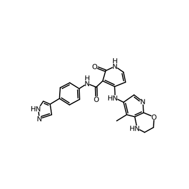 Cc1c(Nc2cc[nH]c(=O)c2C(=O)Nc2ccc(-c3cn[nH]c3)cc2)cnc2c1NCCO2